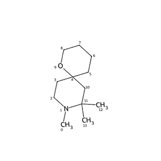 CN1CCC2(CCCCO2)CC1(C)C